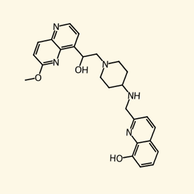 COc1ccc2nccc(C(O)CN3CCC(NCc4ccc5cccc(O)c5n4)CC3)c2n1